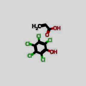 C=CC(=O)O.Oc1c(Cl)c(Cl)c(Cl)c(Cl)c1Cl